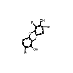 Oc1c(Br)ccc(Oc2ccc(Br)c(O)c2F)c1F